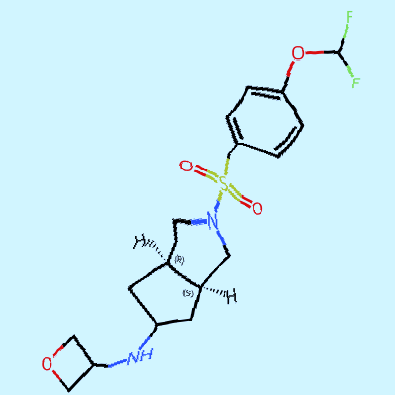 O=S(=O)(c1ccc(OC(F)F)cc1)N1C[C@H]2CC(NC3COC3)C[C@H]2C1